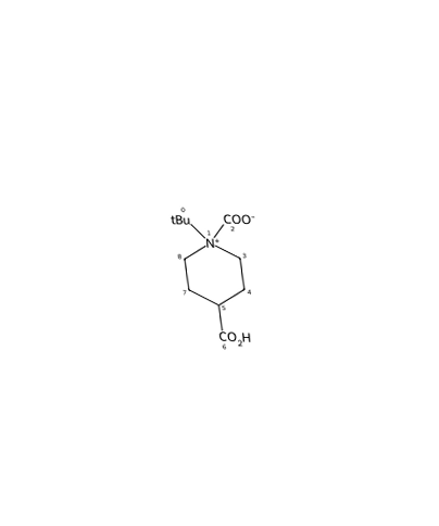 CC(C)(C)[N+]1(C(=O)[O-])CCC(C(=O)O)CC1